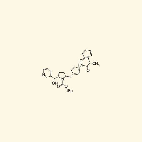 C[C@H](C(=O)Nc1ccc(C[C@@H]2CC[C@H]([C@H](O)c3cccnc3)N2C(=O)OC(C)(C)C)cc1)n1ccccc1=O